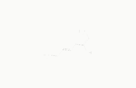 [CH2]C=C(C)CC=CC[CH2]